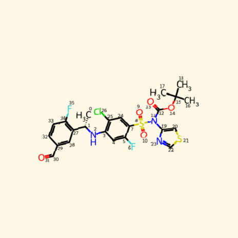 C[C@H](Nc1cc(F)c(S(=O)(=O)N(C(=O)OC(C)(C)C)c2cscn2)cc1Cl)c1cc(C=O)ccc1F